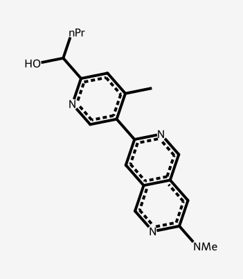 CCCC(O)c1cc(C)c(-c2cc3cnc(NC)cc3cn2)cn1